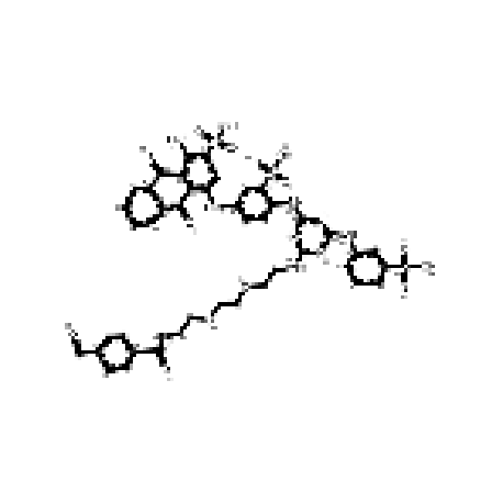 Nc1c(S(=O)(=O)O)cc(Nc2ccc(Nc3nc(NCCOCCOCCNC(=O)c4ccc(C=O)cc4)nc(Nc4cccc(S(=O)(=O)O)c4)n3)c(S(=O)(=O)O)c2)c2c1C(=O)c1ccccc1C2=O